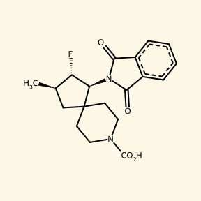 C[C@@H]1CC2(CCN(C(=O)O)CC2)[C@H](N2C(=O)c3ccccc3C2=O)[C@H]1F